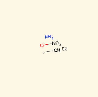 CC#N.O=[N+]([O-])[O-].[Ce].[NH4+]